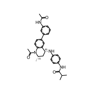 CC(=O)Nc1cccc(-c2ccc3c(c2)[C@H](Nc2ccc(NC(=O)C(C)C)cc2)C[C@H](C)N3C(C)=O)c1